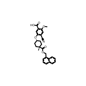 COc1cc(C#N)c(O[C@H]2CC[C@@](C)(C(=O)OCc3cccc4ccccc34)CC2)cc1C(=O)O